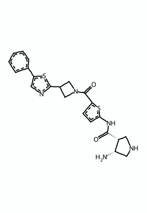 N[C@H]1CNC[C@H]1C(=O)Nc1ccc(C(=O)N2CC(c3ncc(-c4ccccc4)s3)C2)s1